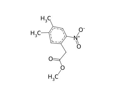 COC(=O)Cc1cc(C)c(C)cc1[N+](=O)[O-]